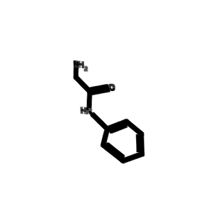 BCC(=O)Nc1ccccc1